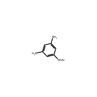 CC(=O)Nc1cc(N)cc(N)c1